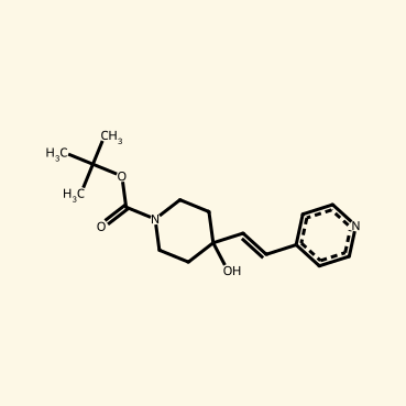 CC(C)(C)OC(=O)N1CCC(O)(C=Cc2ccncc2)CC1